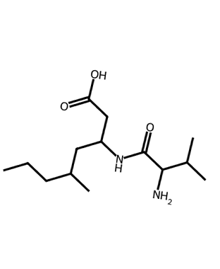 CCCC(C)CC(CC(=O)O)NC(=O)C(N)C(C)C